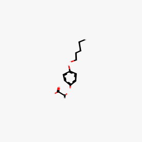 CCCCCOc1ccc(OC(C)C(=O)O)cc1